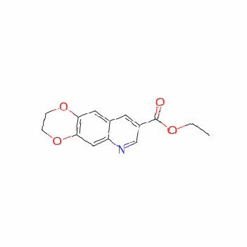 CCOC(=O)c1cnc2cc3c(cc2c1)OCCO3